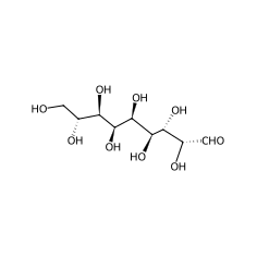 O=C[C@H](O)[C@@H](O)[C@@H](O)[C@H](O)[C@@H](O)[C@H](O)[C@H](O)CO